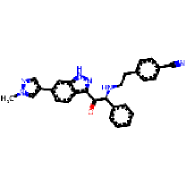 Cn1cc(-c2ccc3c(C(=O)[C@@H](NCCc4ccc(C#N)cc4)c4ccccc4)n[nH]c3c2)cn1